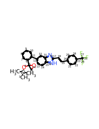 C[Si](C)(C)OC1(c2ccccc2-c2ccc3[nH]c(/C=C/c4ccc(C(F)(F)F)cc4)nc3c2)CO1